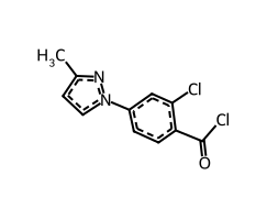 Cc1ccn(-c2ccc(C(=O)Cl)c(Cl)c2)n1